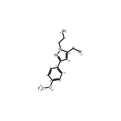 CC(C)CCn1nc(-c2ccc(OC(F)(F)F)cc2)cc1CBr